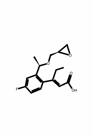 CC/C(=C\C(=O)O)c1ccc(F)cc1[C@@H](C)OC[C@H]1CO1